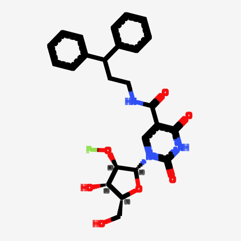 O=C(NCCC(c1ccccc1)c1ccccc1)c1cn([C@@H]2O[C@H](CO)[C@H](O)[C@H]2OF)c(=O)[nH]c1=O